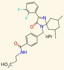 CCC[C@H](c1ccc(C(=O)NCCC(=O)O)cc1)N1C(=O)C(c2cccc(F)c2F)=NC12CC(C)CC(C)C2